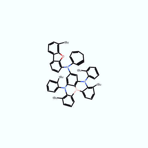 CC(C)(C)c1ccccc1N1c2cc(N(C3=CC=CCC#C3)c3cccc4c3oc3c(C(C)(C)C)cccc34)cc3c2B(c2cccc(C(C)(C)C)c21)c1cccc(C(C)(C)C)c1N3c1ccccc1C(C)(C)C